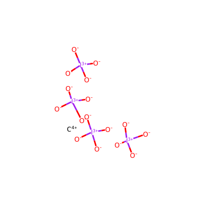 [C+4].[O-][I+3]([O-])([O-])[O-].[O-][I+3]([O-])([O-])[O-].[O-][I+3]([O-])([O-])[O-].[O-][I+3]([O-])([O-])[O-]